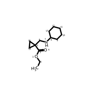 CCOC(=O)C1(CNC2CCCCC2)CC1